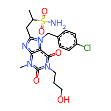 CC(Cc1nc2c(c(=O)n(CCCO)c(=O)n2C)n1Cc1ccc(Cl)cc1)S(N)(=O)=O